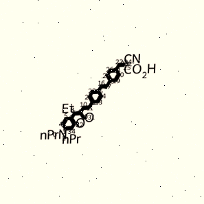 CCCN(CCC)c1ccc2c(CC)c(/C=C/c3ccc(/C=C/c4ccc(/C=C(/C#N)C(=O)O)cc4)cc3)c(=O)oc2c1